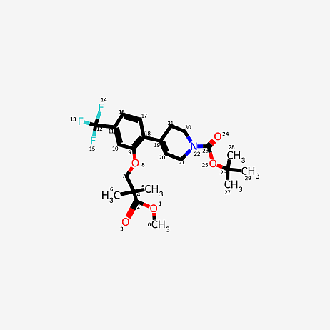 COC(=O)C(C)(C)COc1cc(C(F)(F)F)ccc1C1=CCN(C(=O)OC(C)(C)C)CC1